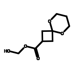 O=C(OCO)C1CC2(C1)OCCCO2